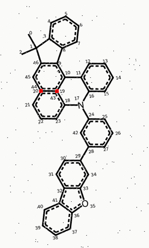 CC1(C)c2ccccc2-c2c(-c3ccccc3N(c3ccccc3)c3cccc(-c4ccc5c(c4)oc4ccccc45)c3)cccc21